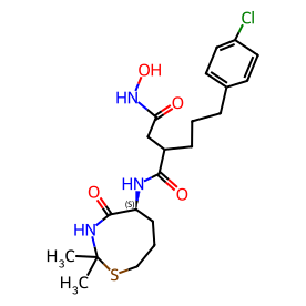 CC1(C)NC(=O)[C@@H](NC(=O)C(CCCc2ccc(Cl)cc2)CC(=O)NO)CCCS1